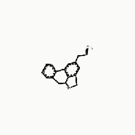 C=CCc1cc2c3c(c1)-c1ccccc1CC3NC2